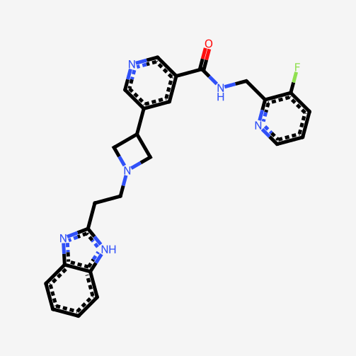 O=C(NCc1ncccc1F)c1cncc(C2CN(CCc3nc4ccccc4[nH]3)C2)c1